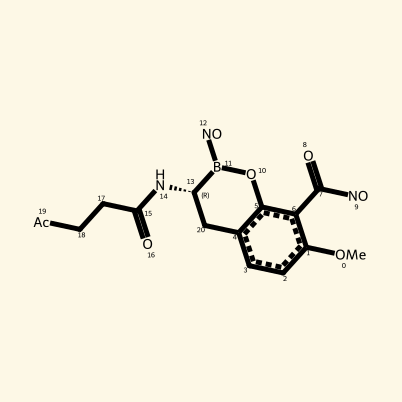 COc1ccc2c(c1C(=O)N=O)OB(N=O)[C@@H](NC(=O)CCC(C)=O)C2